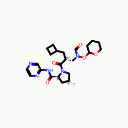 O=CN(C[C@@H](CC1CCC1)C(=O)N1C[C@H](F)C[C@H]1C(=O)Nc1cnccn1)OC1CCCCO1